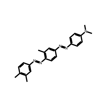 Cc1ccc(N=Nc2ccc(N=Nc3ccc(N(C)C)cc3)cc2C)cc1C